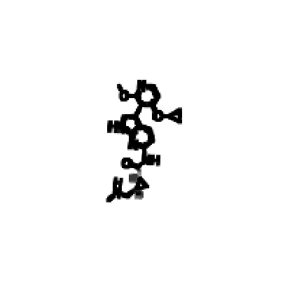 CNC[C@@H]1C[C@H]1C(=O)Nc1ccc2c(-c3c(OC4CC4)ccnc3OC)c[nH]c2n1